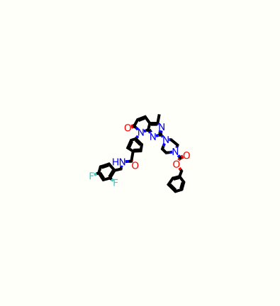 Cc1nc(N2CCN(C(=O)OCc3ccccc3)CC2)nc2c1ccc(=O)n2-c1ccc(C(=O)NCc2ccc(F)cc2F)cc1